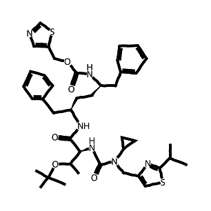 CC(C)c1nc(CN(C(=O)N[C@H](C(=O)N[C@H](CC[C@H](Cc2ccccc2)NC(=O)OCc2cncs2)Cc2ccccc2)C(C)OC(C)(C)C)C2CC2)cs1